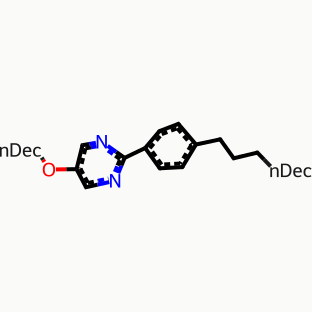 CCCCCCCCCCCCCc1ccc(-c2ncc(OCCCCCCCCCC)cn2)cc1